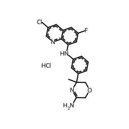 CC1(c2cccc(Nc3cc(F)cc4cc(Cl)cnc34)c2)COCC(N)=N1.Cl